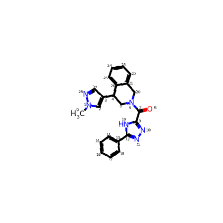 Cn1cc(C2CN(C(=O)c3nnc(-c4ccccc4)[nH]3)Cc3ccccc32)cn1